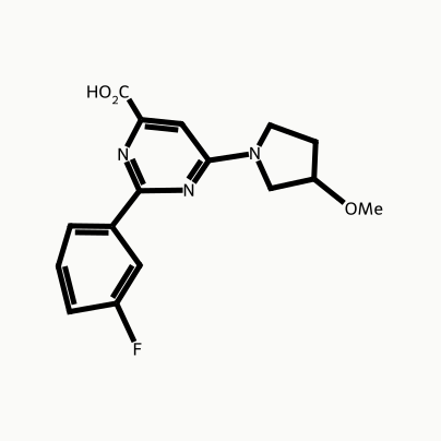 COC1CCN(c2cc(C(=O)O)nc(-c3cccc(F)c3)n2)C1